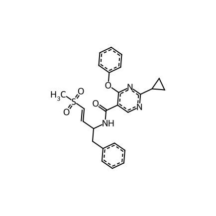 CS(=O)(=O)C=CC(Cc1ccccc1)NC(=O)c1cnc(C2CC2)nc1Oc1ccccc1